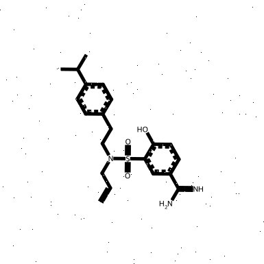 C=CCN(CCc1ccc(C(C)C)cc1)S(=O)(=O)c1cc(C(=N)N)ccc1O